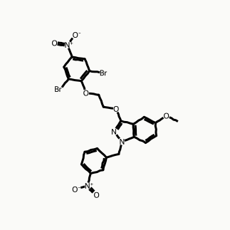 COc1ccc2c(c1)c(OCCOc1c(Br)cc([N+](=O)[O-])cc1Br)nn2Cc1cccc([N+](=O)[O-])c1